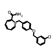 NC(=O)C1=CC=CC=CN1Cc1ccc(OCc2cccc(Cl)c2)cc1